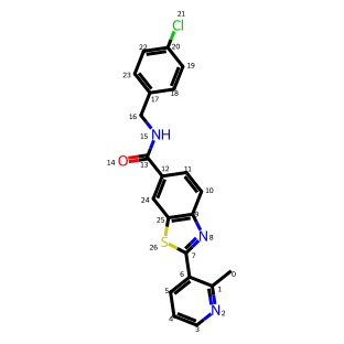 Cc1ncccc1-c1nc2ccc(C(=O)NCc3ccc(Cl)cc3)cc2s1